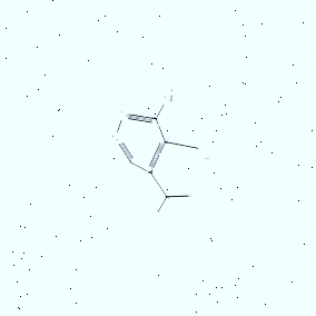 CC(C)c1cnnc(N)c1Cl